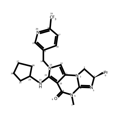 CC(C)[C@@H]1CN2C(=N1)N(C)C(=O)c1c2cn(Cc2ccc(C(F)(F)F)nc2)c1NC1CCCC1